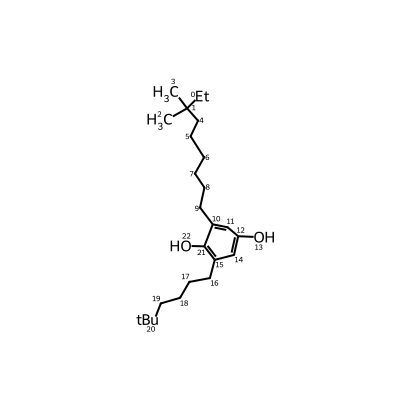 CCC(C)(C)CCCCCCc1cc(O)cc(CCCCC(C)(C)C)c1O